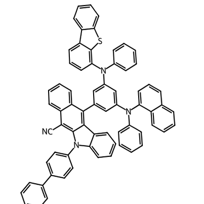 N#Cc1c2ccccc2c(-c2cc(N(c3ccccc3)c3cccc4ccccc34)cc(N(c3ccccc3)c3cccc4c3sc3ccccc34)c2)c2c3ccccc3n(-c3ccc(-c4ccccc4)cc3)c12